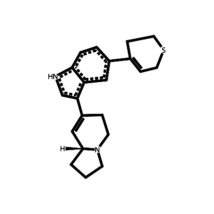 C1=C(c2ccc3[nH]cc(C4=C[C@H]5CCCN5CC4)c3c2)CCSC1